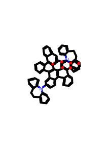 c1ccc2c(c1)CCc1ccccc1N2c1ccc2c(-c3ccccc3-c3cccc4ccccc34)c3cc(N4c5ccccc5CCc5ccccc54)ccc3c(-c3ccccc3-c3cccc4ccccc34)c2c1